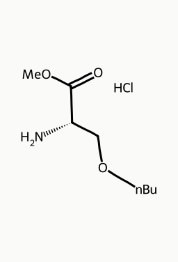 CCCCOC[C@H](N)C(=O)OC.Cl